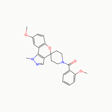 COc1ccc2c(c1)-c1c(cnn1C)C1(CCN(C(=O)c3ccccc3OC)CC1)O2